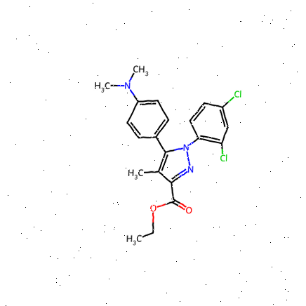 CCOC(=O)c1nn(-c2ccc(Cl)cc2Cl)c(-c2ccc(N(C)C)cc2)c1C